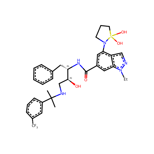 CCn1ncc2c(N3CCCS3(O)O)cc(C(=O)N[C@@H](Cc3ccccc3)[C@@H](O)CNC(C)(C)c3cccc(C(F)(F)F)c3)cc21